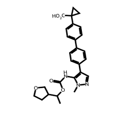 CC(OC(=O)Nc1c(-c2ccc(-c3ccc(C4(C(=O)O)CC4)cc3)cc2)cnn1C)C1CCOC1